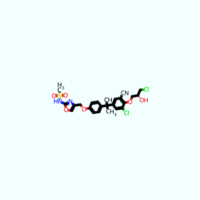 CC(C)(c1ccc(OCc2coc(NS(C)(=O)=O)n2)cc1)c1cc(Cl)c(OC[C@@H](O)CCl)c(C#N)c1